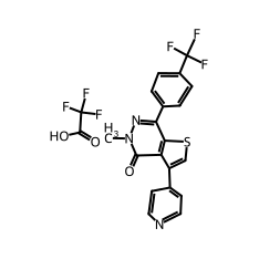 Cn1nc(-c2ccc(C(F)(F)F)cc2)c2scc(-c3ccncc3)c2c1=O.O=C(O)C(F)(F)F